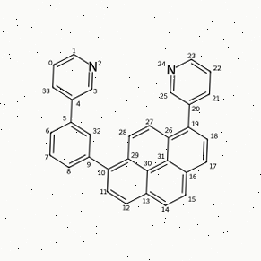 c1cncc(-c2cccc(-c3ccc4ccc5ccc(-c6cccnc6)c6ccc3c4c56)c2)c1